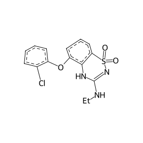 CCNC1=NS(=O)(=O)c2cccc(Oc3ccccc3Cl)c2N1